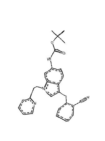 CC(C)(C)OC(=O)Nc1ccc2c(Sc3ccccc3C#N)cn(Cc3ccccn3)c2c1